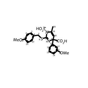 COc1ccc(CSC2=NC(C(=O)O)(c3cccc(OC)c3)C=C(C)N2C(=O)O)cc1